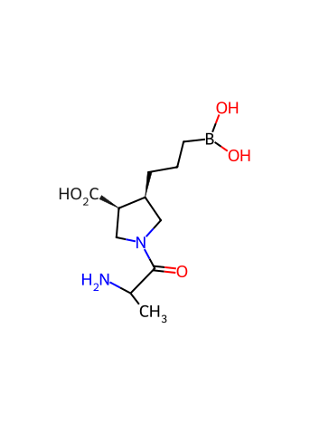 CC(N)C(=O)N1C[C@H](CCCB(O)O)[C@H](C(=O)O)C1